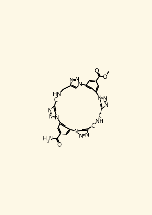 COC(=O)c1cc2cc(c1)-n1cc(nn1)CNCc1cn(nn1)-c1cc(C(N)=O)cc(c1)-n1cc(nn1)CNCc1cn-2nn1